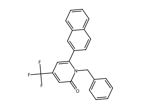 O=c1cc(C(F)(F)F)cc(-c2ccc3ccccc3c2)n1Cc1ccccc1